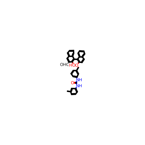 Cc1cccc(NC(=O)Nc2cccc(COc3ccc4ccccc4c3-c3c(O)c(C=O)cc4ccccc34)c2)c1